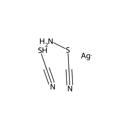 N#CS.N#CSN.[Ag]